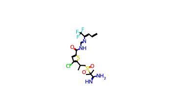 C=C/C=C(\N=C\NC(=O)c1cc(Cl)c(C(C)CS(=O)(=O)C(C)(C)C(=N)N)s1)C(F)(F)F